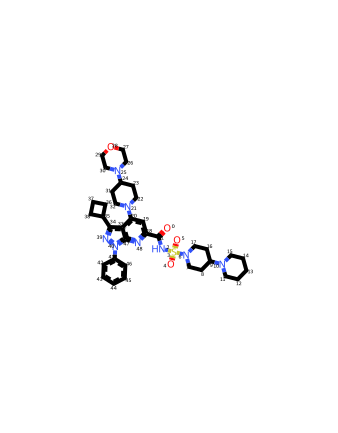 O=C(NS(=O)(=O)N1CCC(N2CCCCC2)CC1)c1cc(N2CCC(N3CCOCC3)CC2)c2c(C3CCC3)nn(-c3ccccc3)c2n1